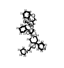 O=C(COCC1COc2ccccc2N1S(=O)(=O)c1ccccc1C(F)(F)F)N1CCC(OCCN2CCCC2)(c2ccncc2)CC1